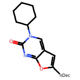 CCCCCCCCCCc1cc2cn(C3CCCCC3)c(=O)nc2o1